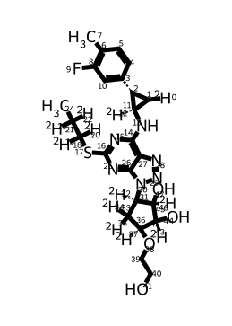 [2H]C1[C@@H](c2ccc(C)c(F)c2)[C@]1([2H])Nc1nc(SC([2H])([2H])C([2H])([2H])C)nc2c1nnn2[C@]1([2H])C([2H])([2H])[C@]([2H])(OCCO)[C@@]([2H])(O)[C@@]1([2H])O